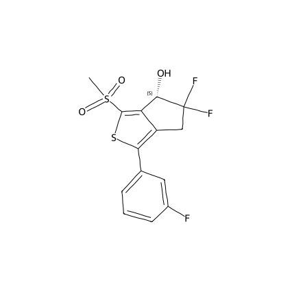 CS(=O)(=O)c1sc(-c2cccc(F)c2)c2c1[C@H](O)C(F)(F)C2